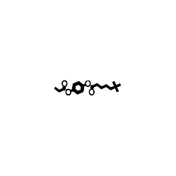 CCC(=O)Oc1ccc(OC(=O)CCCCC(C)(C)C)cc1